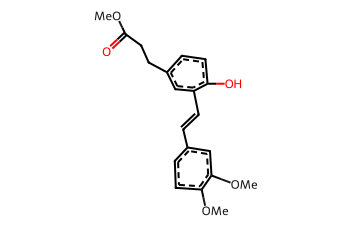 COC(=O)CCc1ccc(O)c(C=Cc2ccc(OC)c(OC)c2)c1